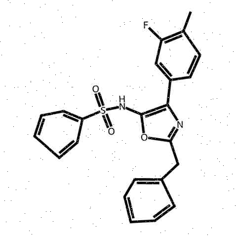 Cc1ccc(-c2nc(Cc3ccccc3)oc2NS(=O)(=O)c2ccccc2)cc1F